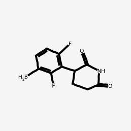 Bc1ccc(F)c(C2CCC(=O)NC2=O)c1F